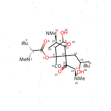 CC[C@@H](C)[C@@H](NC)C(=O)OC(CC(C)O)(C(=O)O)C(CC(C)O)(C(=O)[C@@H](C)NC)C(=O)[C@H](NC)[C@@H](C)CC